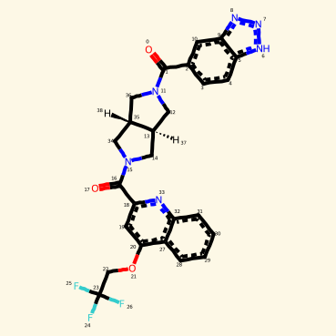 O=C(c1ccc2[nH]nnc2c1)N1C[C@H]2CN(C(=O)c3cc(OCC(F)(F)F)c4ccccc4n3)C[C@@H]2C1